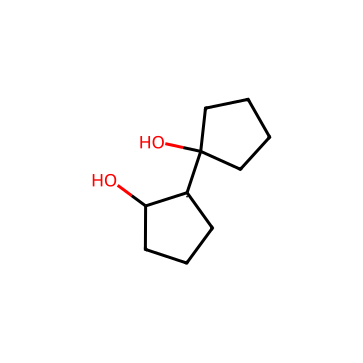 OC1CCC[C]1C1(O)CCCC1